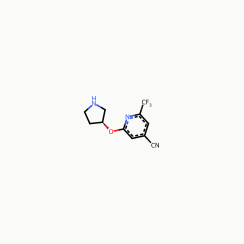 N#Cc1cc(O[C@H]2CCNC2)nc(C(F)(F)F)c1